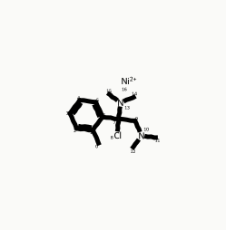 Cc1ccccc1C(Cl)(CN(C)C)N(C)C.[Ni+2]